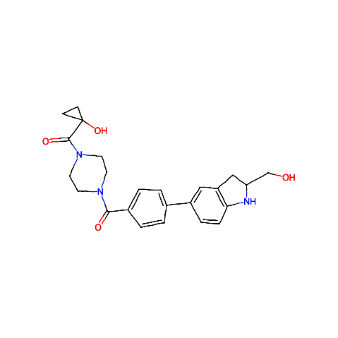 O=C(c1ccc(-c2ccc3c(c2)CC(CO)N3)cc1)N1CCN(C(=O)C2(O)CC2)CC1